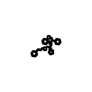 C(=Cc1ccccc1)COCC(CN1c2ccccc2OCC1c1ccccc1)N1CCCC1